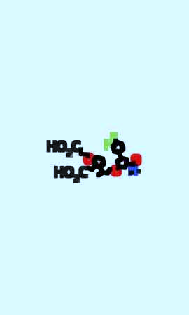 C=C(CCOc1cc(C(=O)N(C)C)cc(-c2ccc(F)c(F)c2)c1)c1cccc(OCCCC(=O)O)c1CCC(=O)O